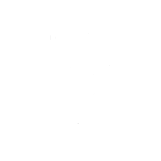 CCc1cccc(CCBr)c1